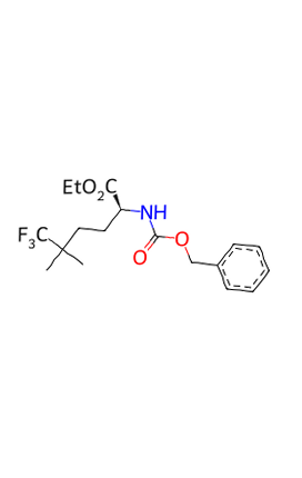 CCOC(=O)[C@H](CCC(C)(C)C(F)(F)F)NC(=O)OCc1ccccc1